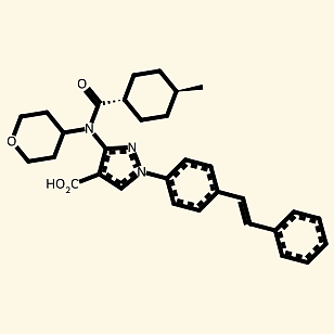 C[C@H]1CC[C@H](C(=O)N(c2nn(-c3ccc(C=Cc4ccccc4)cc3)cc2C(=O)O)C2CCOCC2)CC1